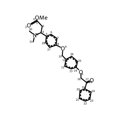 COC(=O)CC(c1ccc(OCc2ccc(OCC(=O)c3ccccc3)cc2)cc1)N(C)C